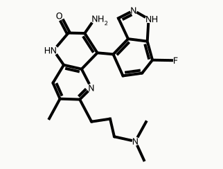 Cc1cc2[nH]c(=O)c(N)c(-c3ccc(F)c4[nH]ncc34)c2nc1CCCN(C)C